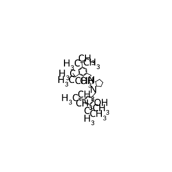 CC(C)(C)c1cc(C=N[C@@H]2CCC[C@H]2N=Cc2cc(C(C)(C)C)cc(C(C)(C)C)c2O)c(O)c(C(C)(C)C)c1